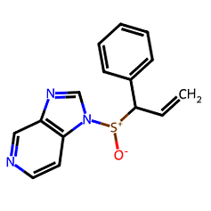 C=CC(c1ccccc1)[S+]([O-])n1cnc2cnccc21